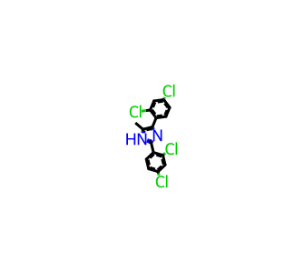 Cc1[nH]c(-c2ccc(Cl)cc2Cl)nc1-c1ccc(Cl)cc1Cl